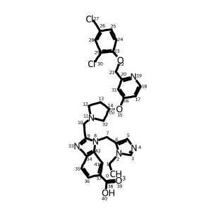 CCn1cncc1Cn1c(CN2CC[C@H](Oc3ccnc(COc4ccc(Cl)cc4Cl)c3)C2)nc2ccc(C(=O)O)cc21